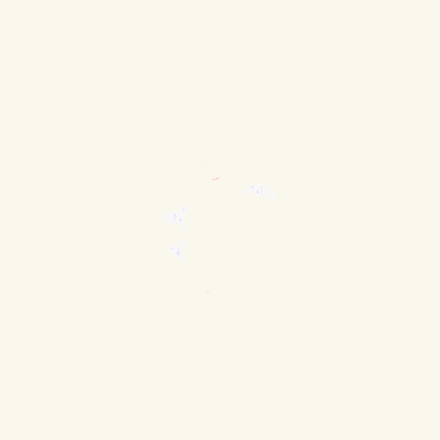 CC(C)(C)[C@]1(OC(N)=O)C[C@@H](Nc2nc3ccccc3s2)C1